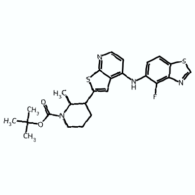 CC1C(c2cc3c(Nc4ccc5scnc5c4F)ccnc3s2)CCCN1C(=O)OC(C)(C)C